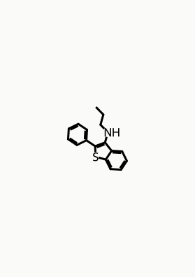 CCCNc1c(-c2ccccc2)sc2ccccc12